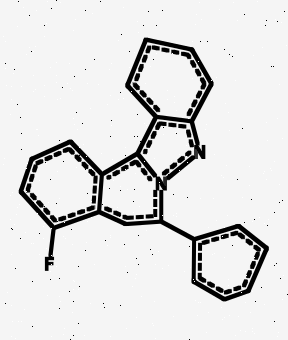 Fc1cccc2c1cc(-c1ccccc1)n1nc3ccccc3c21